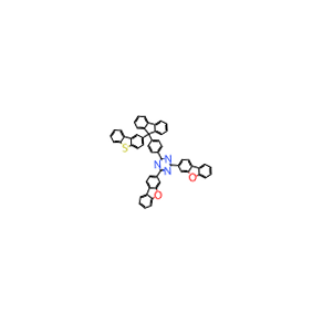 c1ccc2c(c1)-c1ccccc1C2(c1ccc(-c2nc(-c3ccc4c(c3)oc3ccccc34)nc(-c3ccc4c(c3)oc3ccccc34)n2)cc1)c1ccc2sc3ccccc3c2c1